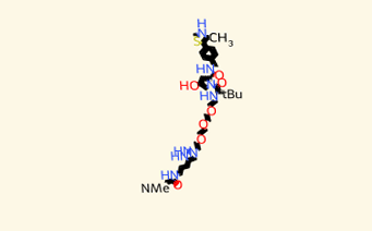 CNCC(=O)NCCCC1CN(CCOCCOCCOCCN[C@H](C(=O)N2C[C@H](O)C[C@H]2C(=O)NCc2ccc(C3SCNC3C)cc2)C(C)(C)C)NN1